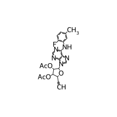 C#CC1OC(n2cnc3c(Nc4cc(C)ccc4F)ncnc32)C(OC(C)=O)C1OC(C)=O